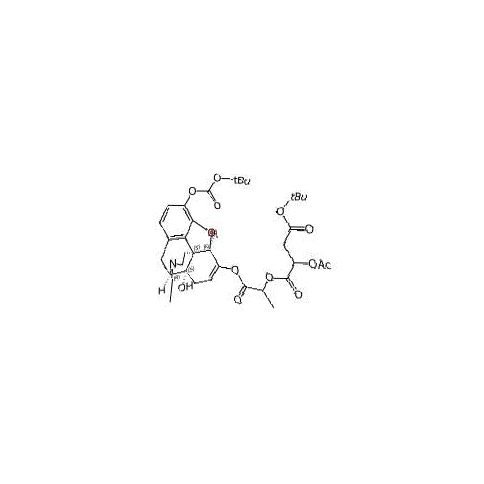 CC(=O)OC(CC(=O)OC(C)(C)C)C(=O)OC(C)C(=O)OC1=CC[C@@]2(O)[C@H]3Cc4ccc(OC(=O)OC(C)(C)C)c5c4[C@@]2(CCN3C)[C@H]1O5